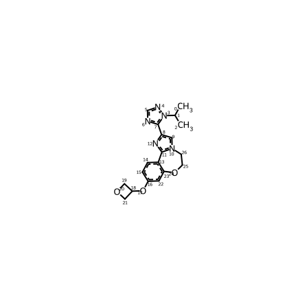 CC(C)n1ncnc1-c1cn2c(n1)-c1ccc(OC3COC3)cc1OCC2